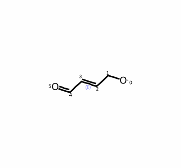 [O]C/C=C/C=O